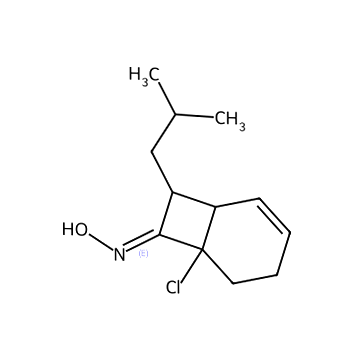 CC(C)CC1/C(=N\O)C2(Cl)CCC=CC12